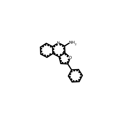 Nc1nc2ccccc2c2cc(-c3ccccc3)oc12